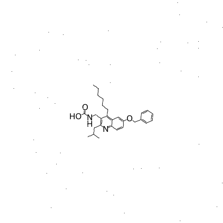 CCCCCCc1c(CNC(=O)O)c(CC(C)C)nc2ccc(OCc3ccccc3)cc12